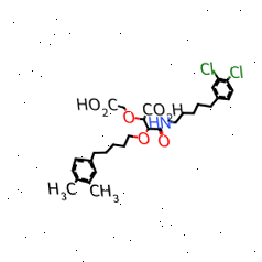 Cc1ccc(CCCCCOC(C(=O)NCCCCCc2ccc(Cl)c(Cl)c2)C(OCC(=O)O)C(=O)O)cc1C